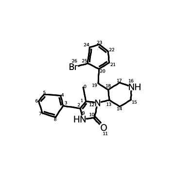 Cc1c(-c2ccccc2)[nH]c(=O)n1C1CCNCC1Cc1ccccc1Br